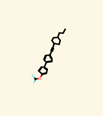 CCCC1CCC(C#Cc2ccc(-c3ccc(OC(F)F)cc3)cc2)CC1